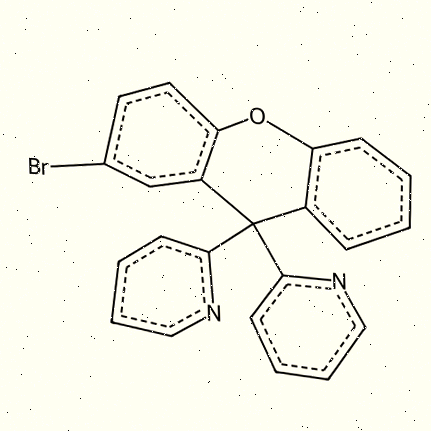 Brc1ccc2c(c1)C(c1ccccn1)(c1ccccn1)c1ccccc1O2